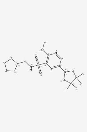 COc1ncc(B2OC(C)(C)C(C)(C)O2)cc1S(=O)(=O)NCC1CCCC1